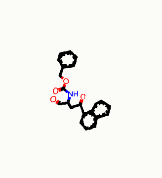 O=[C]C(CC(=O)c1cccc2ccccc12)NC(=O)OCc1ccccc1